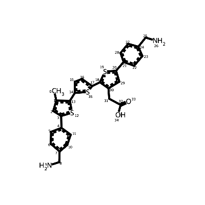 Cc1cc(-c2ccc(CN)cc2)sc1-c1ccc(-c2sc(-c3ccc(CN)cc3)cc2CC(=O)O)s1